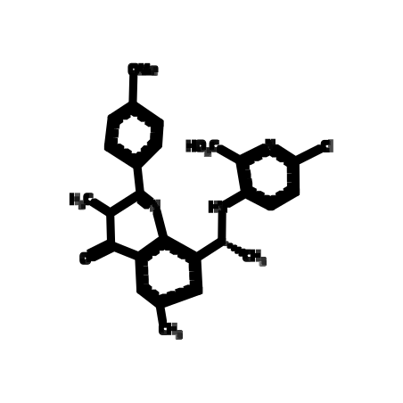 COc1ccc(C2=Nc3c(cc(C)cc3[C@@H](C)Nc3ccc(Cl)nc3C(=O)O)C(=O)C2C)cc1